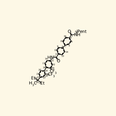 CCCC(C)NC(=O)c1ccc(-c2ccc(C(=O)Nc3ccc(-c4ccc(C(C)(CC)CC)cc4C(F)(F)F)c(C(F)(F)F)c3)cc2)cc1